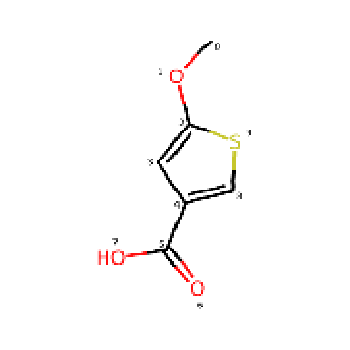 COc1cc(C(=O)O)cs1